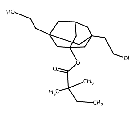 CCC(C)(C)C(=O)OC12CC3CC(CCO)(CC(CCO)(C3)C1)C2